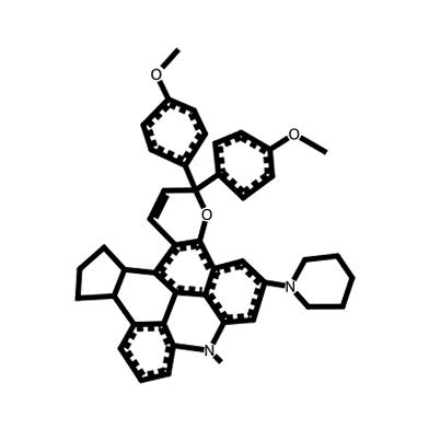 COc1ccc(C2(c3ccc(OC)cc3)C=Cc3c4c5c6c(cc(N7CCCCC7)cc6c3O2)N(C)c2cccc(c2-5)C2CCCC42)cc1